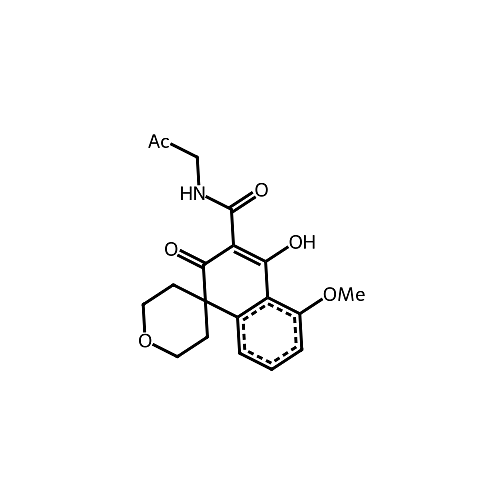 COc1cccc2c1C(O)=C(C(=O)NCC(C)=O)C(=O)C21CCOCC1